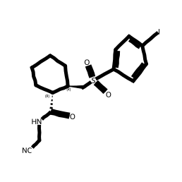 N#CCNC(=O)[C@@H]1CCCC[C@H]1CS(=O)(=O)c1ccc(I)cc1